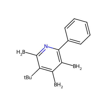 Bc1nc(-c2ccccc2)c(B)c(B)c1C(C)(C)C